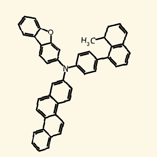 CC1CC=Cc2cccc(-c3ccc(N(c4ccc5c(ccc6c7ccccc7ccc56)c4)c4ccc5c(c4)oc4ccccc45)cc3)c21